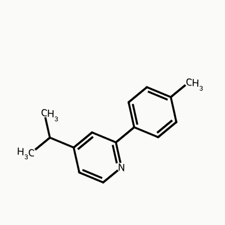 Cc1ccc(-c2cc(C(C)C)ccn2)cc1